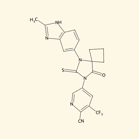 Cc1nc2cc(N3C(=S)N(c4cnc(C#N)c(C(F)(F)F)c4)C(=O)C34CCC4)ccc2[nH]1